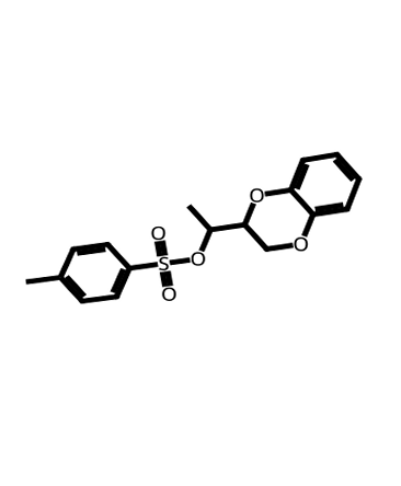 Cc1ccc(S(=O)(=O)OC(C)C2COc3ccccc3O2)cc1